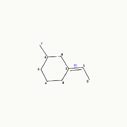 C/C=C1\CCCC(C)C1